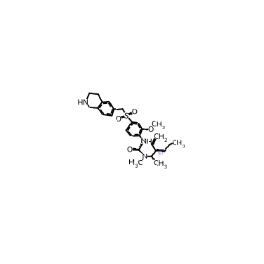 C=C/C(=C\CC)C(C)N(C)C(=O)Nc1ccc(S(=O)(=O)Cc2ccc3c(c2)CCNC3)cc1OC